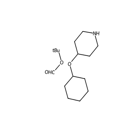 C1CCC(OC2CCNCC2)CC1.CC(C)(C)OC=O